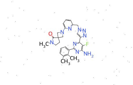 Cc1cccc(-c2nc(N)c(F)c(-c3cn(Cc4cccc(N5CC6(CCN(C)C6=O)C5)n4)nn3)n2)c1C